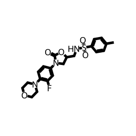 Cc1ccc(S(=O)(=O)NCC2CN(c3ccc(N4CCOCC4)c(F)c3)C(=O)O2)cc1